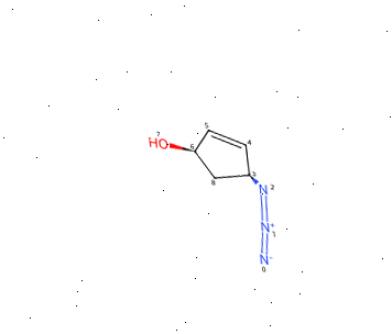 [N-]=[N+]=N[C@@H]1C=C[C@H](O)C1